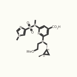 COCCN(C[C@@H]1C[C@H]1C)c1cc(C(=O)O)cc(N(C)S(=O)(=O)c2cn(C)cn2)n1